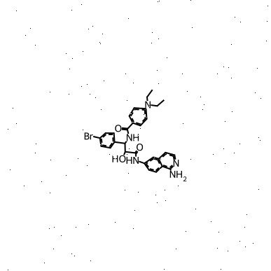 CCN(CC)c1ccc(C(=O)NC(c2ccc(Br)cc2)C(O)C(=O)Nc2ccc3c(N)nccc3c2)cc1